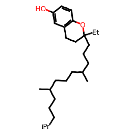 CCC1(CCCC(C)CCCC(C)CCCC(C)C)CCc2cc(O)ccc2O1